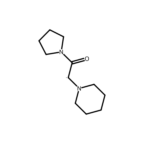 O=C([CH]N1CCCCC1)N1CCCC1